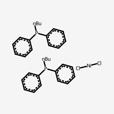 CCCCP(c1ccccc1)c1ccccc1.CCCCP(c1ccccc1)c1ccccc1.[Cl][Ni][Cl]